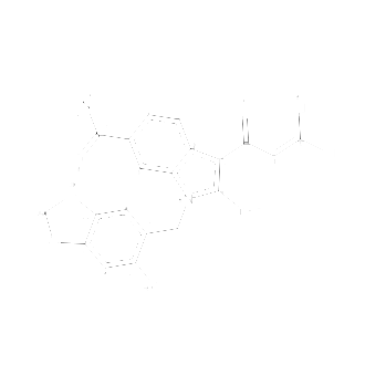 CCCc1c(C(=O)C=C(C)C)c2ccc(C(N)=O)cc2n1Cc1cc2c(cc1Cl)OCO2